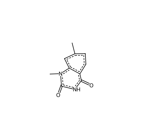 Cc1ccc2c(=O)[nH]c(=O)n(C)c2c1